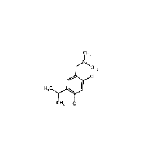 CC(C)c1cc(CN(C)C)c(Cl)cc1Cl